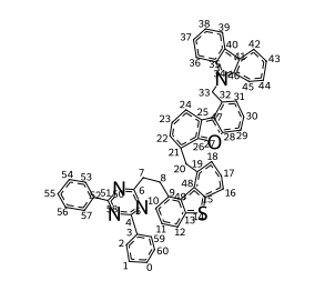 c1ccc(-c2nc(CCc3cccc4sc5cccc(Cc6cccc7c6oc6cccc(Cn8c9ccccc9c9ccccc98)c67)c5c34)nc(-c3ccccc3)n2)cc1